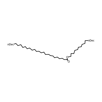 CCCCCCCCCCCCCCCCCCCCCCCCCCCCCCCCC(=O)OCCCCCCCCCCCCCCCCCCCC